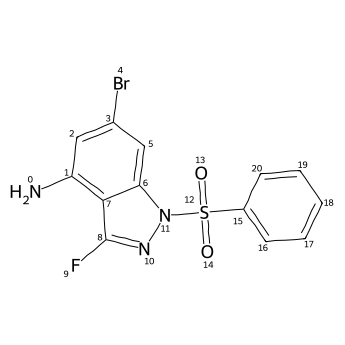 Nc1cc(Br)cc2c1c(F)nn2S(=O)(=O)c1ccccc1